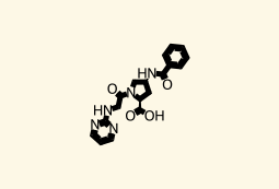 O=C(N[C@@H]1C[C@@H](C(=O)O)N(C(=O)CNc2ncccn2)C1)c1ccccc1